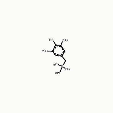 CCC[Si](CCC)(CCC)Cc1cc(C(C)(C)C)c(S)c(C(C)(C)C)c1